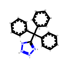 c1ccc(C(C2=NN=N[N]2)(c2ccccc2)c2ccccc2)cc1